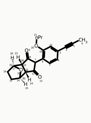 CC#Cc1ccc(C2C(=O)[C@@H]3[C@H](C2=O)[C@H]2CC[C@@H]3O2)c(OCCC)c1